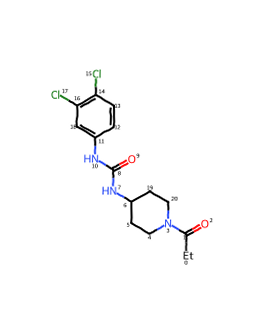 CCC(=O)N1CCC(NC(=O)Nc2ccc(Cl)c(Cl)c2)CC1